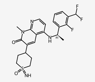 C[C@@H](Nc1ccnc2c1cc(C1CCS(=N)(=O)CC1)c(=O)n2C)c1cccc(C(F)F)c1F